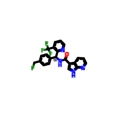 O=C(N[C@@H](c1ccc(CF)cc1)c1ncccc1C(F)(F)F)c1c[nH]c2ncccc12